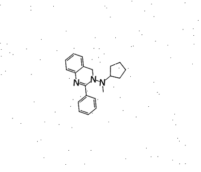 CN(C1CCCC1)N1Cc2ccccc2N=C1c1ccccc1